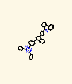 c1ccc(-c2nc(-c3ccccc3)nc(-c3ccc(-c4ccc(-c5ccc(-c6nc7ccccc7c7ccccc67)cc5)c5ccccc45)cc3)n2)cc1